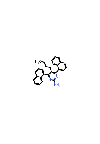 CCCCc1c(-c2cccc3ccccc23)nc(N)nc1-c1cccc2ccccc12